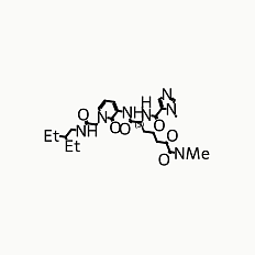 CCC(CC)CNC(=O)Cn1cccc(NC(=O)[C@H](CCCC(=O)C(=O)NC)NC(=O)c2cncn2C)c1=O